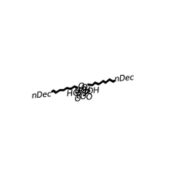 CCCCCCCCCCCCCCCCCCOOCCCCCCCCCCCCCCCCCC.O=P(O)(O)OP(=O)(O)O